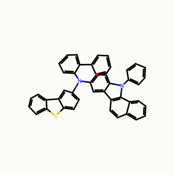 c1ccc(-c2ccccc2N(c2ccc3sc4ccccc4c3c2)c2ccc3c(c2)c2ccc4ccccc4c2n3-c2ccccc2)cc1